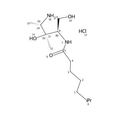 CC(C)CCCCC(=O)N[C@H](CO)[C@@](C)(O)[C@H](C)N.Cl